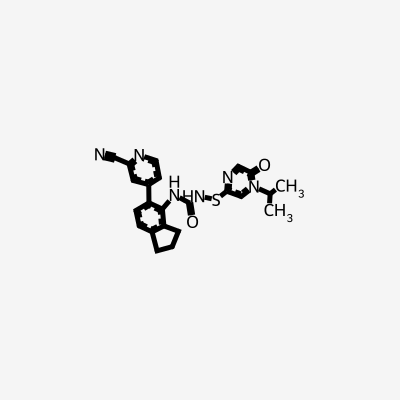 CC(C)n1cc(SNC(=O)Nc2c(-c3ccnc(C#N)c3)ccc3c2CCC3)ncc1=O